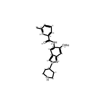 COc1cc2nn(C3CCNCC3)cc2cc1NC(=O)c1cccc(C)n1